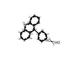 O=CO.c1ccc(-c2c3ccccc3nc3ccccc23)cc1